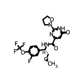 COC[C@@H](NC(=O)c1cc(=O)[nH]c(N2CCCO2)n1)c1ccc(OC(F)(F)F)c(F)c1